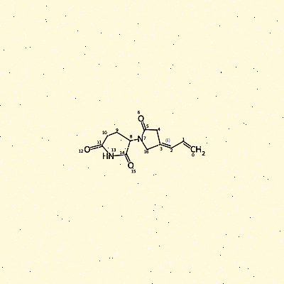 C=C/C=C1\CC(=O)N(C2CCC(=O)NC2=O)C1